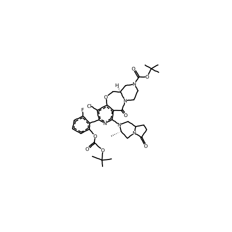 C[C@H]1CN2C(=O)CCC2CN1c1nc(-c2c(F)cccc2OC(=O)OC(C)(C)C)c(Cl)c2c1C(=O)N1CCN(C(=O)OC(C)(C)C)C[C@@H]1CO2